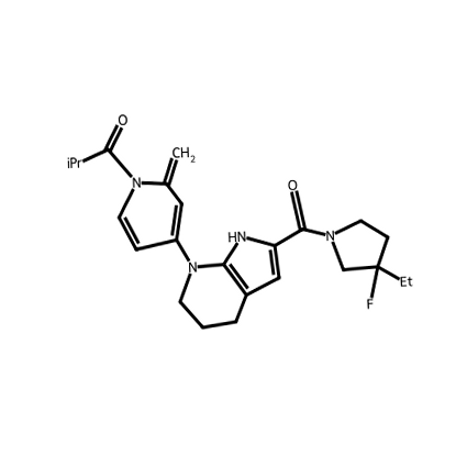 C=C1C=C(N2CCCc3cc(C(=O)N4CCC(F)(CC)C4)[nH]c32)C=CN1C(=O)C(C)C